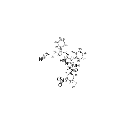 CCc1cc([N+](=O)[O-])cc(S(=O)(=O)Nc2n[nH]c(SC(OCCCC#N)c3ccccc3)c2-c2ccccc2)c1